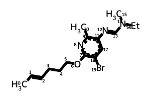 C/C=C/CCCOc1nc(C)c(/N=C/N(C)CC)cc1Br